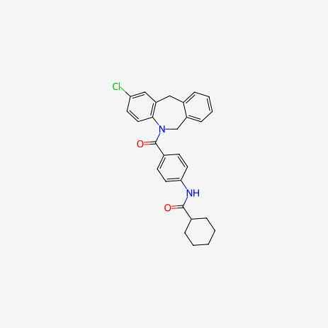 O=C(Nc1ccc(C(=O)N2Cc3ccccc3Cc3cc(Cl)ccc32)cc1)C1CCCCC1